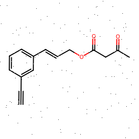 C#Cc1cccc(C=CCOC(=O)CC(C)=O)c1